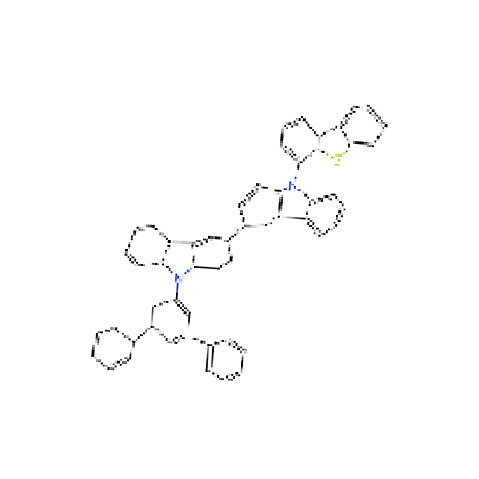 C1=CCC(C2C=C(c3ccccc3)C=C(N3C4CCC(C5C=Cc6c(c7ccccc7n6C6=CC=CC7c8ccccc8SC67)C5)C=C4C4C=CC=CC43)C2)C=C1